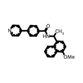 COc1ccc(C(C)NC(=O)c2ccc(-c3ccncc3)cc2)c2ccccc12